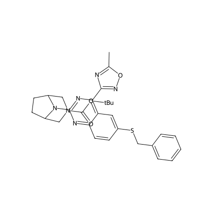 Cc1nc(-c2nc(N3C4CCC3CN(C(=O)OC(C)(C)C)C4)nc3ccc(SCc4ccccc4)cc23)no1